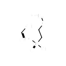 C=CC.O=COCCP(=O)(O)O